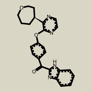 O=C(c1ccc(Oc2nccnc2[C@H]2CCCOCC2)cc1)c1nc2ccccc2[nH]1